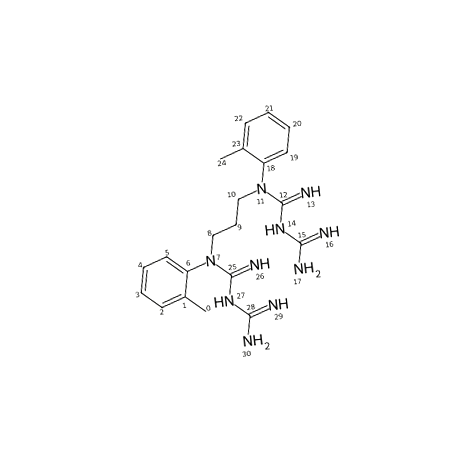 Cc1ccccc1N(CCCN(C(=N)NC(=N)N)c1ccccc1C)C(=N)NC(=N)N